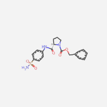 NS(=O)(=O)c1ccc(NC(=O)[C@@H]2CCCN2C(=O)OCc2ccccc2)cc1